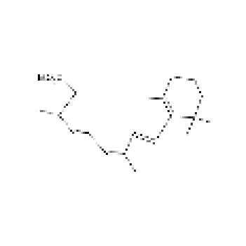 CCOC(=O)C[C@@H](C)/C=C/C=C(C)\C=C\C1=C(C)CCCC1(C)C